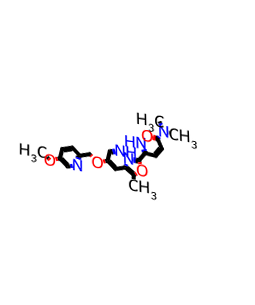 COc1ccc(CO/C(C=N)=C/c2nc(C(=N)/C=C\C(=O)N(C)C)oc2C)nc1